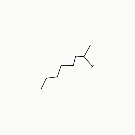 CCCCCCC(C)[S]